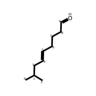 CC(C)CC=CCCCC=O